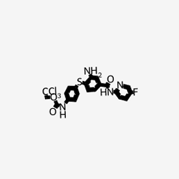 Nc1cc(C(=O)Nc2ccc(F)cn2)ccc1Sc1ccc(NC(=O)OCC(Cl)(Cl)Cl)cc1